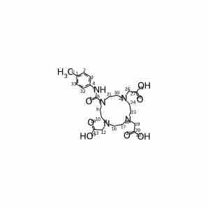 Cc1ccc(NC(=O)N2CCN(CC(=O)O)CCN(CC(=O)O)CCN(CC(=O)O)CC2)cc1